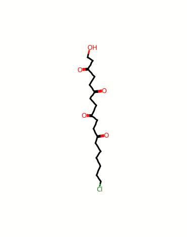 O=C(CCO)CCC(=O)CCC(=O)CCC(=O)CCCCCCCl